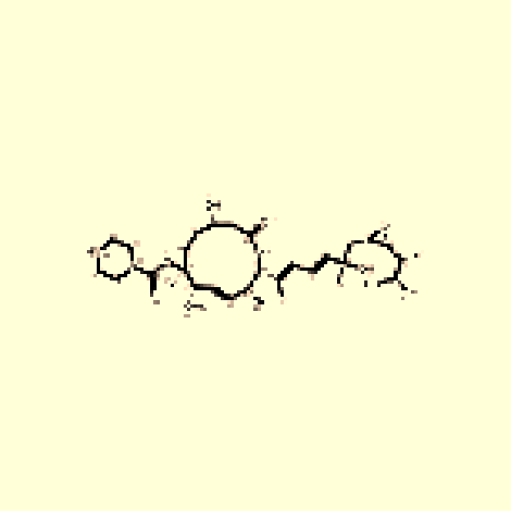 CC[C@@H](O)[C@@H](C)[C@H]1O[C@@H]1C[C@](C)(O)/C=C/C=C(\C)[C@H]1OC(=O)C[C@@H](O)CC[C@](C)(OC(=O)N2CCNCC2)[C@@H](OC(C)=O)/C=C/[C@@H]1C